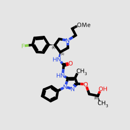 COCCN1C[C@@H](NC(=O)Nc2c(C)c(OC[C@@H](C)O)nn2-c2ccccc2)[C@H](c2ccc(F)cc2)C1